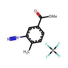 COC(=O)c1ccc(C)c([N+]#N)c1.F[B-](F)(F)F